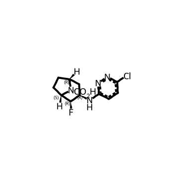 O=C(O)N1[C@@H]2CC[C@H]1[C@H](F)[C@H](Nc1ccc(Cl)nn1)C2